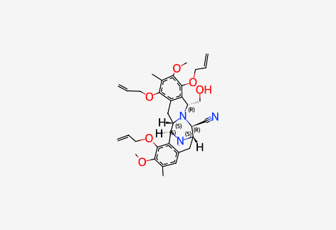 C=CCOc1c(C)c(OC)c(OCC=C)c2c1C[C@H]1[C@@H]3c4c(cc(C)c(OC)c4OCC=C)C[C@@H]([C@H](C#N)N1[C@H]2CO)N3C